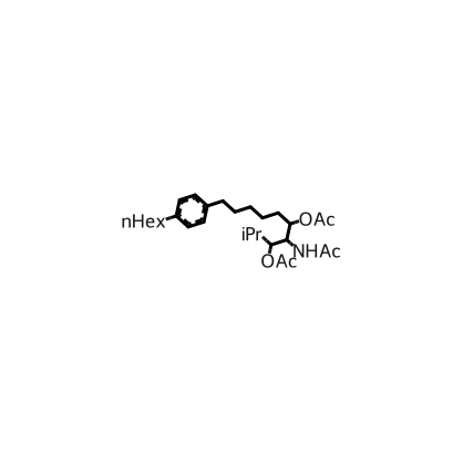 CCCCCCc1ccc(CCCCCC(OC(C)=O)C(NC(C)=O)C(OC(C)=O)C(C)C)cc1